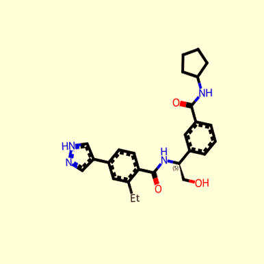 CCc1cc(-c2cn[nH]c2)ccc1C(=O)N[C@H](CO)c1cccc(C(=O)NC2CCCC2)c1